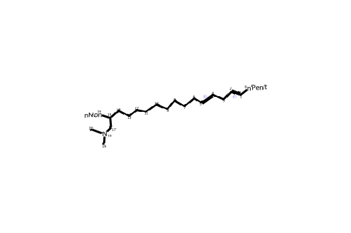 CCCCC/C=C/C/C=C/CCCCCCCCCC(CCCCCCCCC)CN(C)C